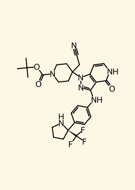 CC(C)(C)OC(=O)N1CCC(CC#N)(n2nc(Nc3ccc([C@]4(C(F)(F)F)CCCN4)cc3)c3c(=O)[nH]ccc32)CC1